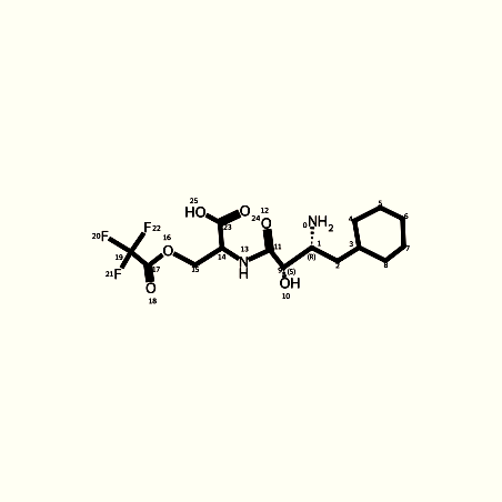 N[C@H](CC1CCCCC1)[C@H](O)C(=O)NC(COC(=O)C(F)(F)F)C(=O)O